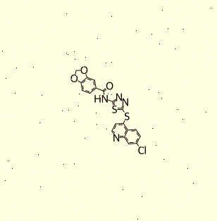 O=C(Nc1nnc(Sc2ccnc3cc(Cl)ccc23)s1)c1ccc2c(c1)OCO2